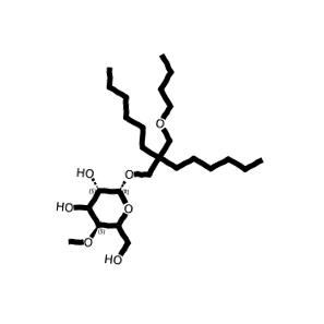 CCCCCCC(CCCCCC)(COCCCC)CO[C@@H]1OC(CO)[C@@H](OC)C(O)[C@@H]1O